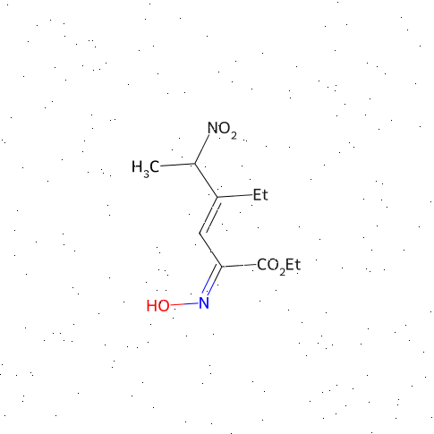 CCOC(=O)C(/C=C(\CC)C(C)[N+](=O)[O-])=N/O